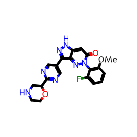 COc1cccc(F)c1-n1nc2c(-c3cnc(C4CNCCO4)nc3)n[nH]c2cc1=O